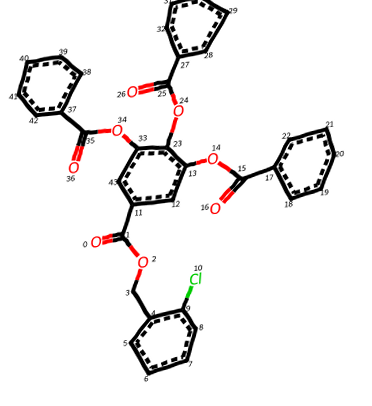 O=C(OCc1ccccc1Cl)c1cc(OC(=O)c2ccccc2)c(OC(=O)c2ccccc2)c(OC(=O)c2ccccc2)c1